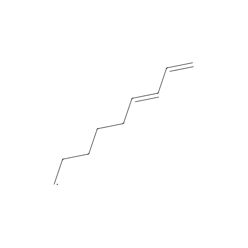 [CH2]CCCCC=CC=C